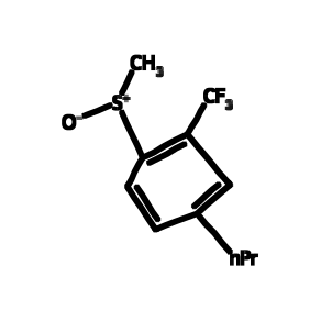 CCCc1ccc([S+](C)[O-])c(C(F)(F)F)c1